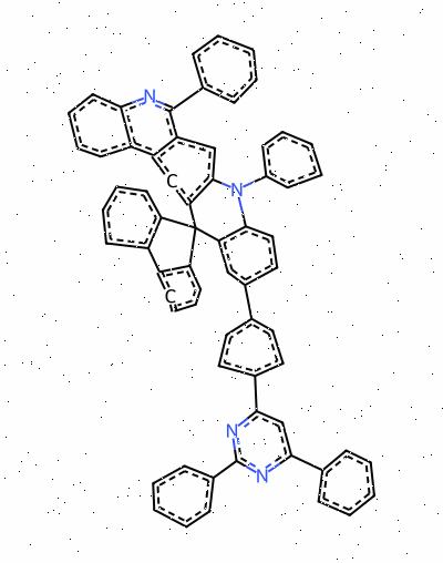 c1ccc(-c2cc(-c3ccc(-c4ccc5c(c4)C4(c6ccccc6-c6ccccc64)c4cc6c(cc4N5c4ccccc4)c(-c4ccccc4)nc4ccccc46)cc3)nc(-c3ccccc3)n2)cc1